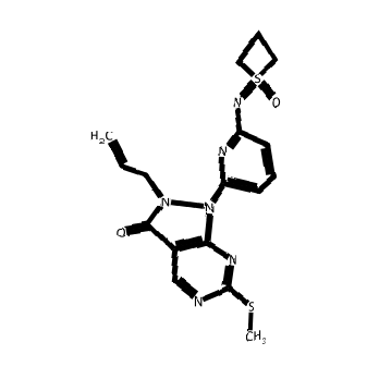 C=CCn1c(=O)c2cnc(SC)nc2n1-c1cccc(N=S2(=O)CCC2)n1